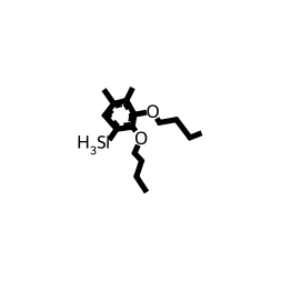 CCCCOc1c([SiH3])cc(C)c(C)c1OCCCC